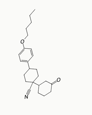 CCCCCOc1ccc(C2CCC(C#N)(C3CCCC(=O)C3)CC2)cc1